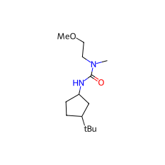 COCCN(C)C(=O)NC1CCC(C(C)(C)C)C1